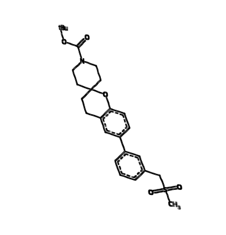 CC(C)(C)OC(=O)N1CCC2(CCc3cc(-c4cccc(CS(C)(=O)=O)c4)ccc3O2)CC1